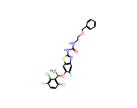 CC(Oc1cc2sc(NC(=O)NCCOCc3ccccc3)nc2cc1F)c1c(Cl)ccc(F)c1Cl